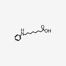 O=C(O)CCCCCCCNc1ccccc1